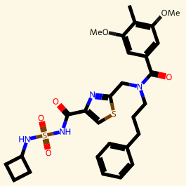 COc1cc(C(=O)N(CCCc2ccccc2)Cc2nc(C(=O)NS(=O)(=O)NC3CCC3)cs2)cc(OC)c1C